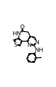 Cc1ccccc1Nc1ncc2c(n1)-c1cscc1NC(=O)C2